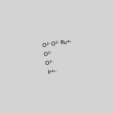 [Ir+4].[O-2].[O-2].[O-2].[O-2].[Ru+4]